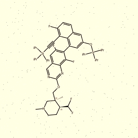 CC(C)[Si](C#Cc1c(F)ccc2cc(O[Si](C(C)C)(C(C)C)C(C)C)cc(-c3c(F)cc4cnc(OC[C@]5(C)CN(C)CC[C@@H]5C(F)F)nc4c3F)c12)(C(C)C)C(C)C